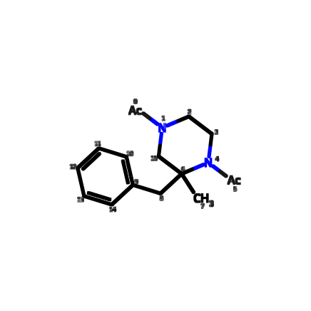 CC(=O)N1CCN(C(C)=O)C(C)(Cc2ccccc2)C1